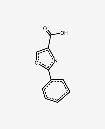 O=C(O)c1coc(-c2ccccc2)n1